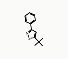 CC(C)(C)c1cc(-c2ccccc2)ns1